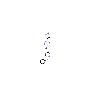 C[C@@H]1CN(C(=O)NC2CCN(Cc3ccccc3)CC2)[C@@H](C)CN1c1cnc(C(F)(F)F)cn1